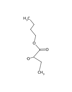 CCCCOC(=O)C([O])CC